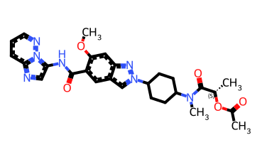 COc1cc2nn(C3CCC(N(C)C(=O)[C@H](C)OC(C)=O)CC3)cc2cc1C(=O)Nc1cnc2cccnn12